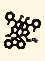 CCCCC1=Cc2c(ccc(C(C)C)c2-c2ccccc2C)[CH]1[Zr+2]1([CH]2C(CCCC)=Cc3c2ccc(C(C)C)c3-c2ccccc2C)[c]2cccc3c2[SiH]1c1ccccc1-3.[Cl-].[Cl-]